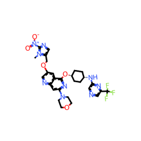 Cn1c(COc2cnc3cc(N4CCOCC4)nc(O[C@H]4CC[C@@H](Nc5cncc(C(F)(F)F)n5)CC4)c3c2)cnc1[N+](=O)[O-]